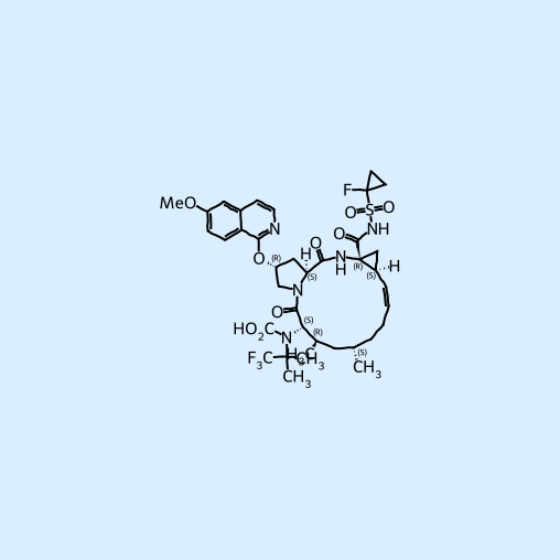 COc1ccc2c(O[C@@H]3C[C@H]4C(=O)N[C@]5(C(=O)NS(=O)(=O)C6(F)CC6)C[C@H]5C=CCC[C@H](C)C[C@@H](C)[C@H](N(C(=O)O)C(C)(C)C(F)(F)F)C(=O)N4C3)nccc2c1